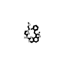 COCCn1ccc(Nc2ncc3c(n2)-c2c(nn(C)c2Cc2ccccc2C)CC3)n1